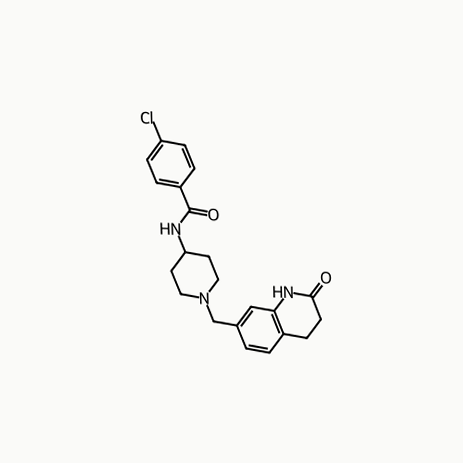 O=C1CCc2ccc(CN3CCC(NC(=O)c4ccc(Cl)cc4)CC3)cc2N1